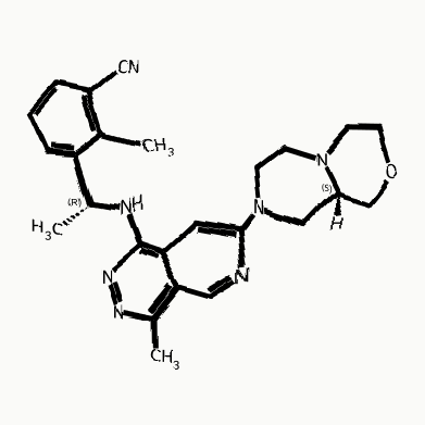 Cc1c(C#N)cccc1[C@@H](C)Nc1nnc(C)c2cnc(N3CCN4CCOC[C@@H]4C3)cc12